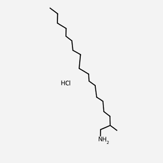 CCCCCCCCCCCCCCCCC(C)CN.Cl